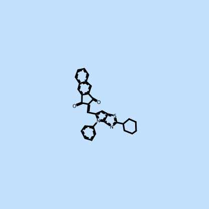 O=C1C(=Cc2cc3sc(C4CCCCC4)nc3n2-c2ccccc2)C(=O)c2cc3ccccc3cc21